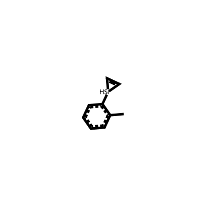 Cc1ccccc1[SiH]1C=C1